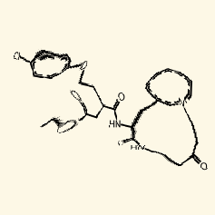 CCOC(=O)C[C@@H](CCOc1ccc(Cl)cc1)C(=O)NC1Cc2ccccccn(c2)CCC(=O)CCNC1=O